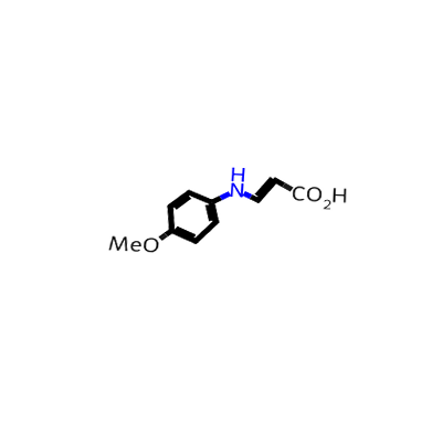 COc1ccc(NC=CC(=O)O)cc1